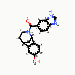 O=C(c1ccc2nc[nH]c2c1)N1CCC2CC1c1ccc(O)cc12